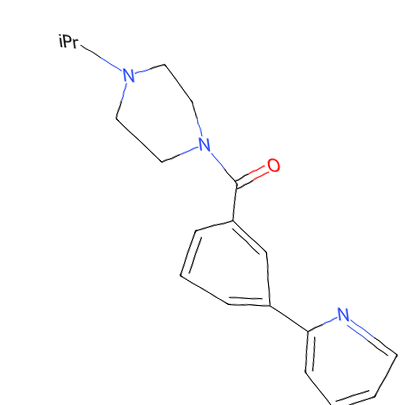 CC(C)N1CCN(C(=O)c2cccc(-c3ccccn3)c2)CC1